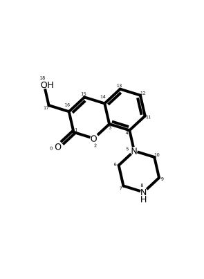 O=c1oc2c(N3CCNCC3)cccc2cc1CO